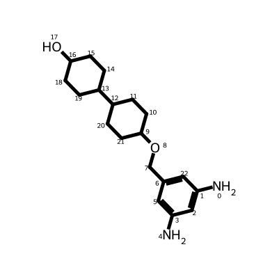 Nc1cc(N)cc(COC2CCC(C3CCC(O)CC3)CC2)c1